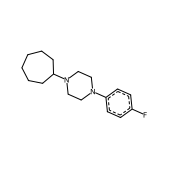 Fc1ccc(N2CCN(C3CCCCCC3)CC2)cc1